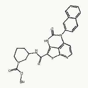 CC(C)(C)OC(=O)N1CCCC(NC(=O)c2sc3nccc4c3c2NC(=O)N4c2ccc3ccccc3c2)C1